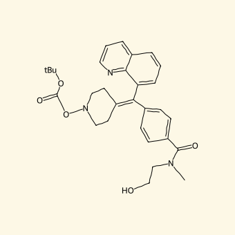 CN(CCO)C(=O)c1ccc(C(=C2CCN(OC(=O)OC(C)(C)C)CC2)c2cccc3cccnc23)cc1